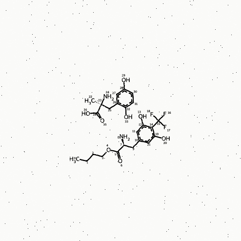 CCCCOC(=O)[C@@H](N)Cc1cc(O)c(C(F)(F)F)c(O)c1.C[C@](N)(Cc1cc(O)ccc1O)C(=O)O